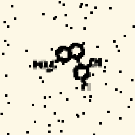 N#Cc1cc(Cl)ccc1C1=CCCc2ccc(C(=O)O)cc21